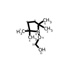 CC1(C)CCC(C)(C)N1OCO